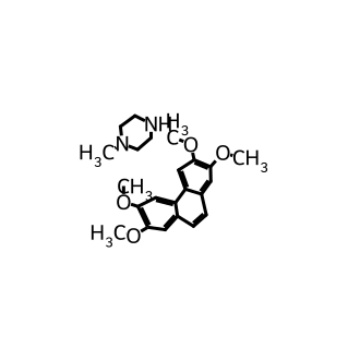 CN1CCNCC1.COc1cc2ccc3cc(OC)c(OC)cc3c2cc1OC